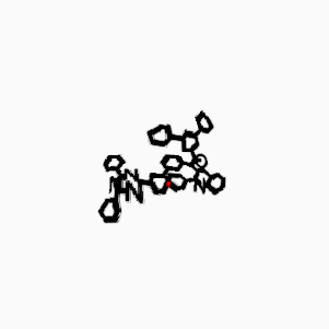 c1ccc(-c2cc(-c3ccccc3)cc(-c3oc4c(c(-c5ccccc5)nc5ccccc54)c3-c3cccc(-c4cccc(-c5nc(-c6ccccc6)nc(-c6ccccc6)n5)c4)c3)c2)cc1